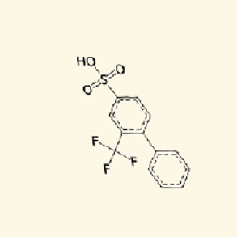 O=S(=O)(O)c1ccc(-c2ccccc2)c(C(F)(F)F)c1